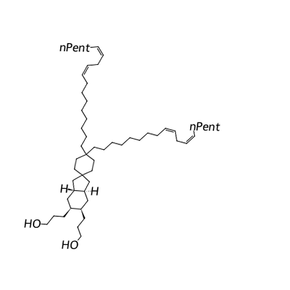 CCCCC/C=C\C/C=C\CCCCCCCCC1(CCCCCCCC/C=C\C/C=C\CCCCC)CCC2(CC1)C[C@H]1C[C@@H](CCCO)[C@@H](CCCO)C[C@@H]1C2